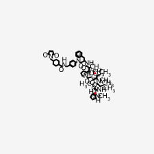 CC[C@H](C)[C@@H]([C@@H](CC(=O)N1CCCC1[C@H](OC)[C@@H](C)C(=O)NC(Cc1ccccc1)C(=O)Nc1ccc(CNC(=O)C2CCC(CN3C(=O)C=CC3=O)CC2)cc1)OC)N(C)C(=O)C(NC(=O)[C@@H]1[C@H]2CC[C@H](C2)N1C)C(C)C